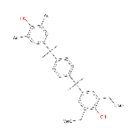 COCc1cc(C(C)(C)c2ccc(C(C)(C)c3cc(C(C)=O)c(O)c(C(C)=O)c3)cc2)cc(COC)c1O